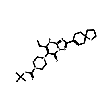 CCc1[nH]c2nc(C3=CCC4(CCCO4)CC3)nn2c(=O)c1N1CCN(C(=O)OC(C)(C)C)CC1